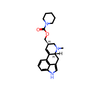 CN1C[C@H](COC(=O)N2CCCCC2)C=C2c3cccc4[nH]cc(c34)C[C@H]21